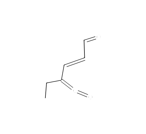 CCC(=C=O)/C=C/C=O